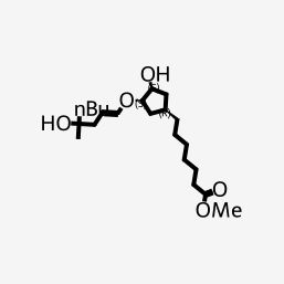 CCCCC(C)(O)CC=CO[C@H]1C[C@H](CCCCCCC(=O)OC)C[C@@H]1O